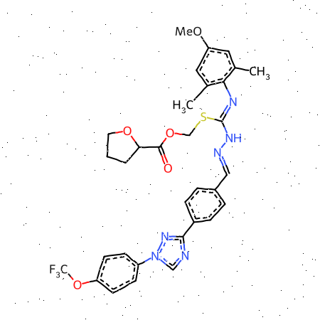 COc1cc(C)c(/N=C(/N/N=C/c2ccc(-c3ncn(-c4ccc(OC(F)(F)F)cc4)n3)cc2)SCOC(=O)C2CCCO2)c(C)c1